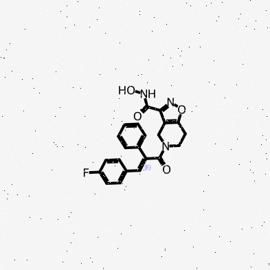 O=C(NO)c1noc2c1CN(C(=O)/C(=C/c1ccc(F)cc1)c1ccccc1)CC2